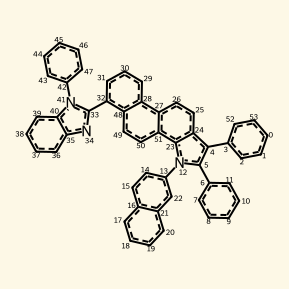 c1ccc(-c2c(-c3ccccc3)n(-c3ccc4ccccc4c3)c3c2ccc2c4cccc(-c5nc6ccccc6n5-c5ccccc5)c4ccc23)cc1